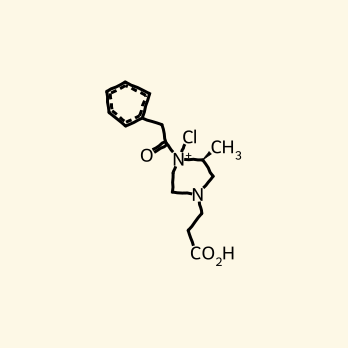 C[C@H]1CN(CCC(=O)O)CC[N+]1(Cl)C(=O)Cc1ccccc1